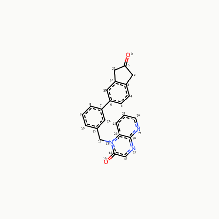 O=C1Cc2ccc(-c3cccc(Cn4c(=O)cnc5ncccc54)c3)cc2C1